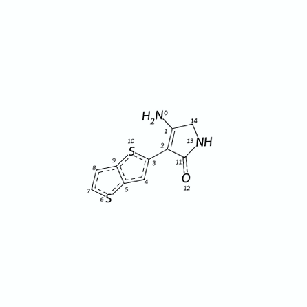 NC1=C(c2cc3sccc3s2)C(=O)NC1